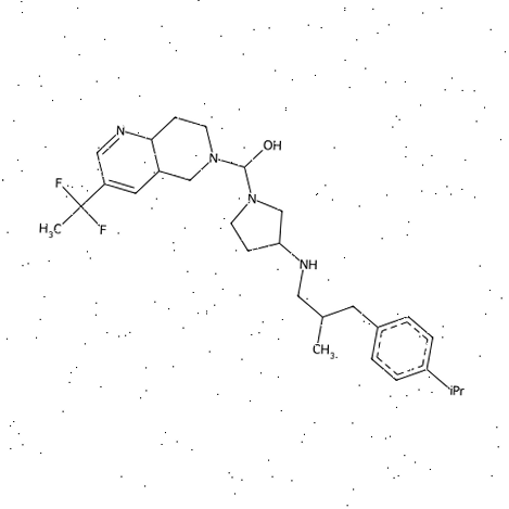 CC(CNC1CCN(C(O)N2CCC3N=CC(C(C)(F)F)=CC3C2)C1)Cc1ccc(C(C)C)cc1